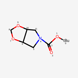 CC(C)(C)OC(=O)N1CC2OCOC2C1